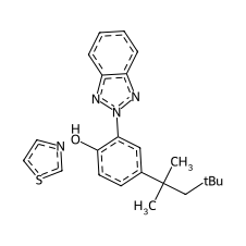 CC(C)(C)CC(C)(C)c1ccc(O)c(-n2nc3ccccc3n2)c1.c1cscn1